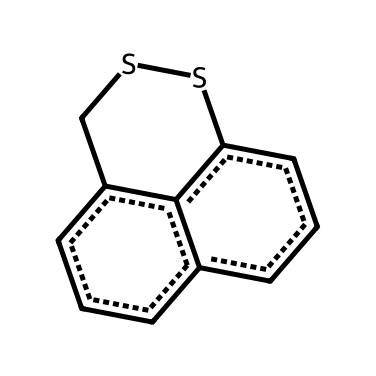 c1cc2c3c(cccc3c1)SSC2